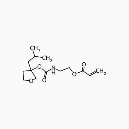 C=CC(=O)OCCNC(=O)OC1(CC(C)C)CCOC1